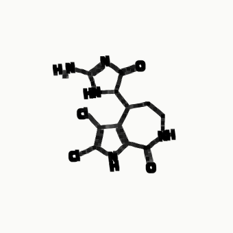 NC1=NC(=O)C(C2CCNC(=O)c3[nH]c(Cl)c(Cl)c32)N1